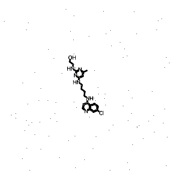 Cc1cc(NCCCCNc2ccnc3cc(Cl)ccc23)nc(NCCO)n1